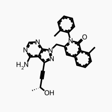 Cc1ccccc1-n1c(Cn2nc(C#C[C@@H](C)O)c3c(N)ncnc32)cc2cccc(C)c2c1=O